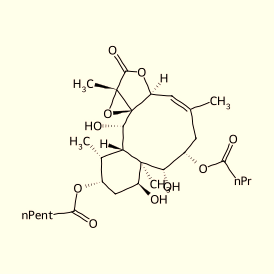 CCCCCC(=O)O[C@H]1C[C@H](O)[C@@]2(C)[C@H]([C@H]1C)[C@H](O)[C@]13O[C@]1(C)C(=O)O[C@H]3/C=C(/C)C[C@H](OC(=O)CCC)[C@@H]2O